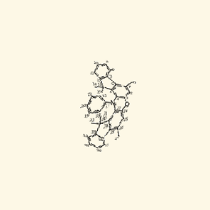 Cc1cc2c(c3c1-c1ccccc1C3(C)C)N(c1ccccc1)c1c(cc(C)c3c1C(C)(C)c1ccccc1-3)O2